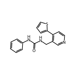 O=C(NCc1cnccc1-c1cccs1)Nc1ccccc1